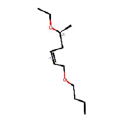 CCCCOC/C=C\C[C@H](C)OCC